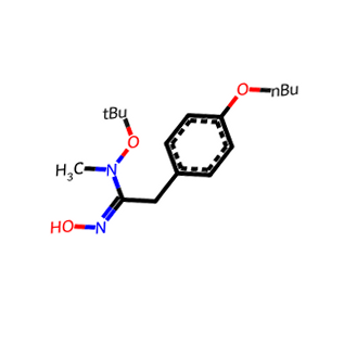 CCCCOc1ccc(C/C(=N/O)N(C)OC(C)(C)C)cc1